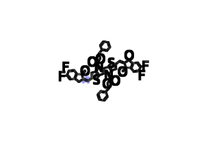 O=C1/C(=C\c2cc3c(s2)c2c(c4sc(C=C5C(=O)c6cc(F)c(F)cc6C5=O)cc4n2C(=O)OCc2ccccc2)n3C(=O)OCc2ccccc2)Cc2cc(F)c(F)cc21